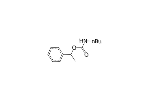 CCCCNC(=O)OC(C)c1ccccc1